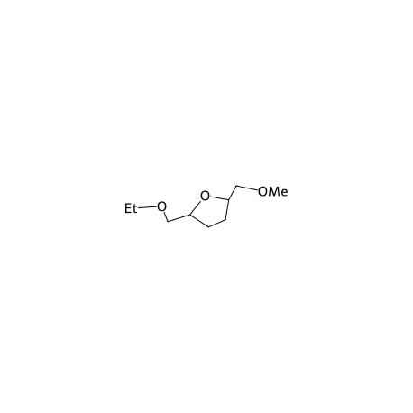 CCOCC1CCC(COC)O1